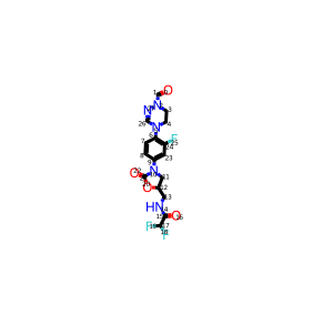 O=CN1CCN(c2ccc(N3CC(CNC(=O)C(F)F)OC3=O)cc2F)C=N1